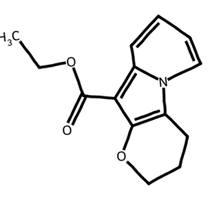 CCOC(=O)c1c2c(n3ccccc13)CCCO2